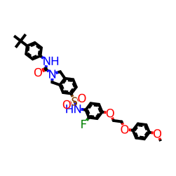 COc1ccc(OCCOc2ccc(NS(=O)(=O)c3ccc4c(c3)CN(C(=O)Nc3ccc(C(C)(C)C)cc3)C4)c(F)c2)cc1